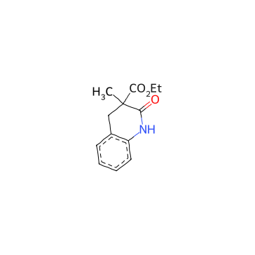 CCOC(=O)C1(C)Cc2ccccc2NC1=O